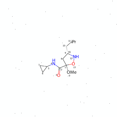 COC1(C(=O)NC2CC2)C[C@H](CC(C)C)NO1